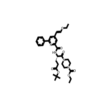 CCOC=Cc1cc(C(=O)N[C@@H](CCC(=O)OC(C)(C)C)C(=O)N2CCN(C(=O)OCC)CC2)nc(-c2ccccc2)c1